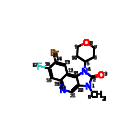 Cn1c(=O)n(C2CCOCC2)c2c3cc(Br)c(F)cc3ncc21